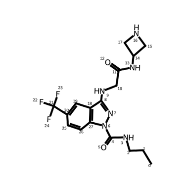 CCCNC(=O)n1nc(NCC(=O)NC2CNC2)c2cc(C(F)(F)F)ccc21